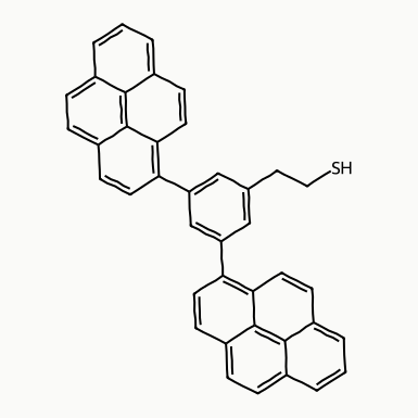 SCCc1cc(-c2ccc3ccc4cccc5ccc2c3c45)cc(-c2ccc3ccc4cccc5ccc2c3c45)c1